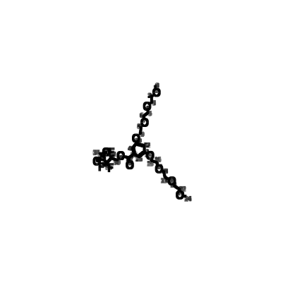 COCCOCCOCCOc1cc(OCCOCCOCCOC)cc(C(=O)OCC(F)C(F)(F)S(C)(=O)=O)c1